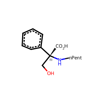 CCCCCN[C@@](CO)(C(=O)O)c1ccccc1